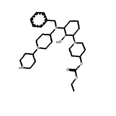 CCOC(=O)OC1CCN(C2CCCC(N(Cc3ccccc3)C3CCN(C4CCNCC4)CC3)[C@@H]2O)CC1